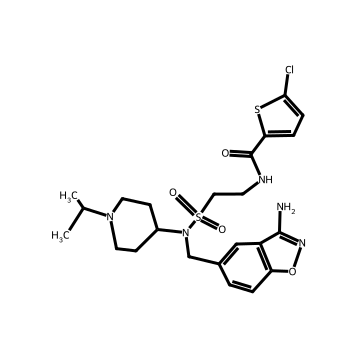 CC(C)N1CCC(N(Cc2ccc3onc(N)c3c2)S(=O)(=O)CCNC(=O)c2ccc(Cl)s2)CC1